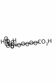 O=C(O)CCOCCOCCOCCOCCOCCNc1cccc2c1C(=O)N(C1CCC(=O)NC1=O)C2=O